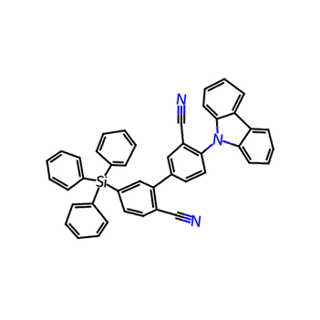 N#Cc1ccc([Si](c2ccccc2)(c2ccccc2)c2ccccc2)cc1-c1ccc(-n2c3ccccc3c3ccccc32)c(C#N)c1